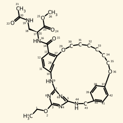 CCOc1nc2nc(n1)Nc1ccc(C(=O)N[C@@H](CNC(C)=O)C(=O)OC)c(c1)OCCCCCCOc1ccc(cc1)CN2